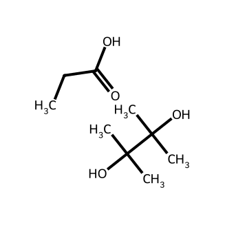 CC(C)(O)C(C)(C)O.CCC(=O)O